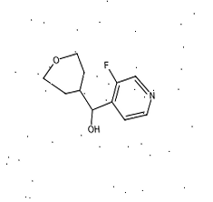 OC(c1ccncc1F)C1CCOCC1